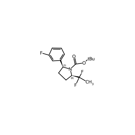 CC(C)(C)OC(=O)N1[C@H](c2cccc(F)c2)CC[C@@H]1C(C)(F)F